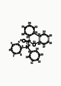 O=P1(N(c2ccccc2)c2ccccc2)Oc2ccccc2-c2ccccc21